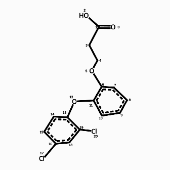 O=C(O)CCOc1ccccc1Oc1ccc(Cl)cc1Cl